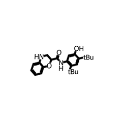 CC(C)(C)c1cc(C(C)(C)C)c(NC(=O)C2CNc3ccccc3O2)cc1O